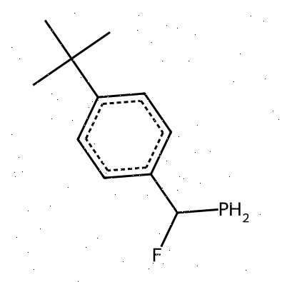 CC(C)(C)c1ccc(C(F)P)cc1